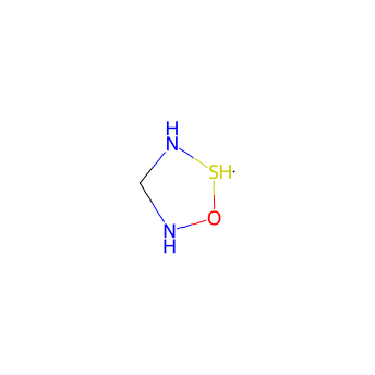 C1NO[SH]N1